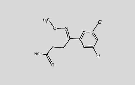 CO/N=C(\CCC(=O)O)c1cc(Cl)cc(Cl)c1